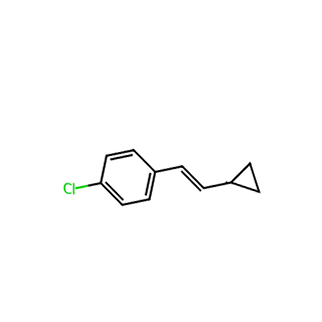 Clc1ccc(C=C[C]2CC2)cc1